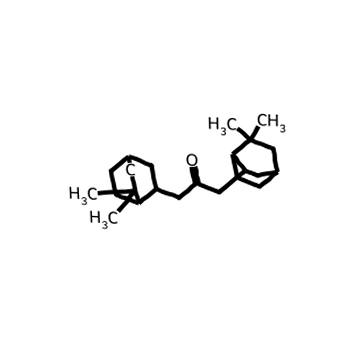 CC1(C)CC2CCC1C(CC(=O)CC1CC3CCC1C(C)(C)C3)C2